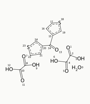 O.O=C(O)C(=O)O.O=C(O)C(=O)O.O=C(c1ccsc1)c1ccsc1